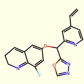 C=Cc1ccnc(C(Oc2cc(F)c3c(c2)=CCCN=3)c2nnco2)c1